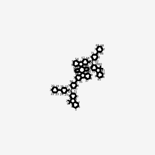 CC1(C)c2ccccc2-c2ccc(N(c3ccc(-c4ccccc4)cc3)c3ccc(-c4ccc5c(c4)-c4ccccc4C54c5ccccc5C5(c6ccccc6-c6ccc(N(c7ccc(-c8ccccc8)cc7)c7ccc8c(c7)C(C)(C)c7ccccc7-8)cc65)c5ccccc54)cc3)cc21